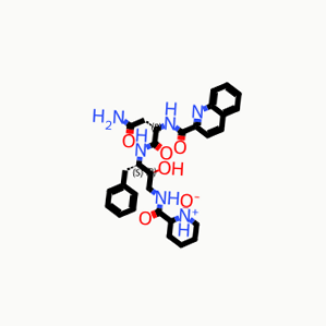 NC(=O)C[C@H](NC(=O)c1ccc2ccccc2n1)C(=O)N[C@@H](Cc1ccccc1)[C@H](O)CNC(=O)C1CCCC[NH+]1[O-]